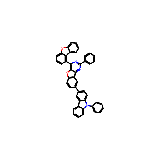 c1ccc(-c2nc(-c3cccc4oc5ccccc5c34)c3oc4ccc(-c5ccc6c(c5)c5ccccc5n6-c5ccccc5)cc4c3n2)cc1